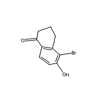 O=C1CCCc2c1ccc(O)c2Br